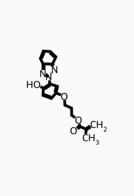 C=C(C)C(=O)OCCCOc1ccc(O)c(-n2nc3ccccc3n2)c1